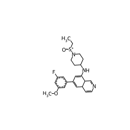 CC[S+]([O-])N1CCC(NC2=CC(c3cc(F)cc(OC)c3)=CC3C=CN=CC23)CC1